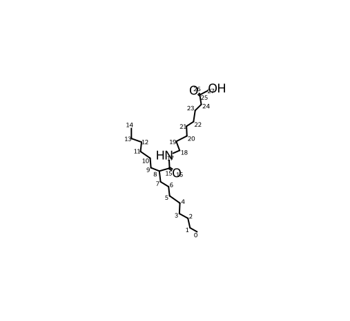 CCCCCCCCC(CCCCCC)C(=O)NCCCCCCCC(=O)O